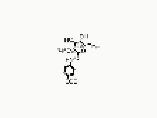 O=C([O-])c1ccc(NOC2O[C@H](CO)[C@@H](O)[C@H](O)[C@H]2O)cc1.[Na+]